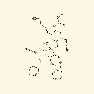 CC(C)(C)OC(=O)N[C@@H]1CC(N=[N+]=[N-])C(O[C@H]2OC(CN=[N+]=[N-])[C@@H](OCc3ccccc3)[C@H](OCc3ccccc3)C2N=[N+]=[N-])[C@H](O)C1OCCCO